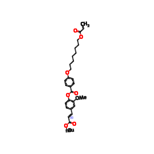 C=CC(=O)OCCCCCCCCOc1ccc(C(=O)Oc2ccc(/C=C/C(=O)OCCCC)cc2OC)cc1